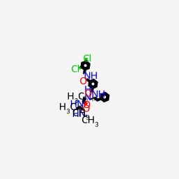 CCNC(=O)[C@@H](NC(=O)[C@H](C)NC[C@H](Cc1ccccc1)NC(=O)c1cccc(C(=O)NCc2ccc(Cl)cc2Cl)c1)C(C)C